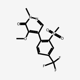 COc1c(-c2ccc(C(F)(F)F)cc2S(C)(=O)=O)cnn(C)c1=O